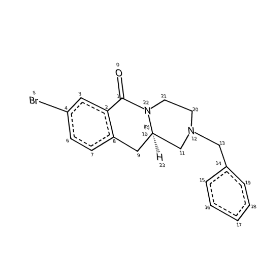 O=C1c2cc(Br)ccc2C[C@@H]2CN(Cc3ccccc3)CCN12